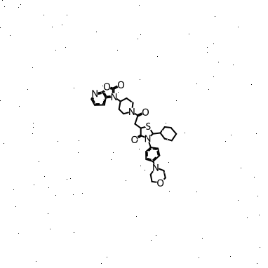 O=C(CC1SC(C2CCCCC2)N(c2ccc(N3CCOCC3)cc2)C1=O)N1CCC(n2c(=O)oc3ncccc32)CC1